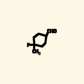 CC1(F)CCC(C=O)CC1